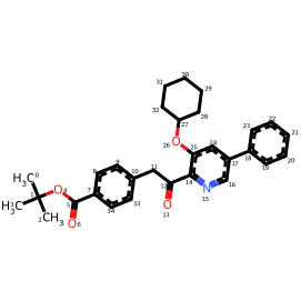 CC(C)(C)OC(=O)c1ccc(CC(=O)c2ncc(-c3ccccc3)cc2OC2CCCCC2)cc1